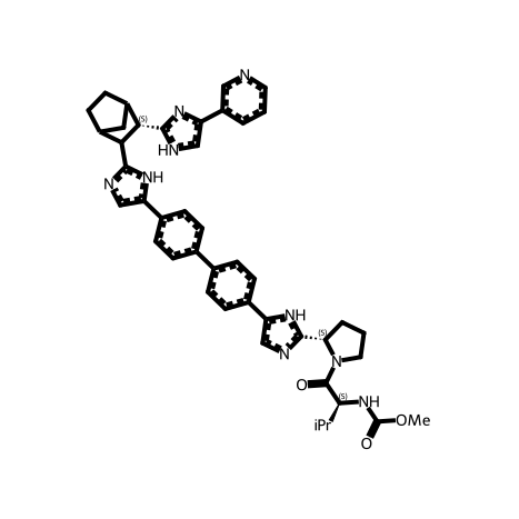 COC(=O)N[C@H](C(=O)N1CCC[C@H]1c1ncc(-c2ccc(-c3ccc(-c4cnc(C5C6CCC(C6)[C@@H]5c5nc(-c6cccnc6)c[nH]5)[nH]4)cc3)cc2)[nH]1)C(C)C